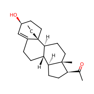 CC[C@]12CC[C@H](O)C=C1CC[C@@H]1[C@@H]2CC[C@]2(C)[C@@H](C(C)=O)CC[C@@H]12